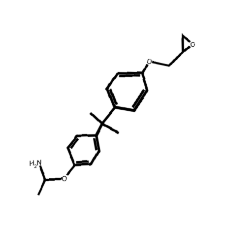 CC(N)Oc1ccc(C(C)(C)c2ccc(OCC3CO3)cc2)cc1